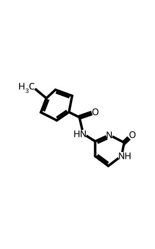 Cc1ccc(C(=O)Nc2cc[nH]c(=O)n2)cc1